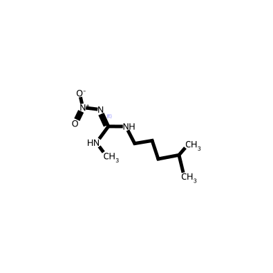 CN/C(=N\[N+](=O)[O-])NCCCC(C)C